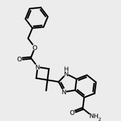 CC1(c2nc3c(C(N)=O)cccc3[nH]2)CN(C(=O)OCc2ccccc2)C1